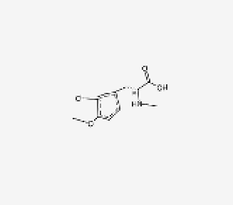 CN[C@H](Cc1ccc(OC)c(Cl)c1)C(=O)O